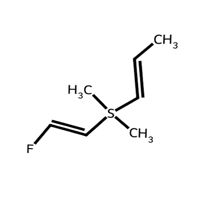 CC=CS(C)(C)/C=C/F